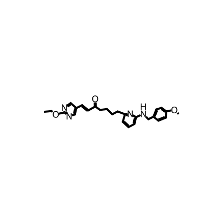 CCOc1ncc(C=CC(=O)CCCCc2cccc(NCc3ccc(OC)cc3)n2)cn1